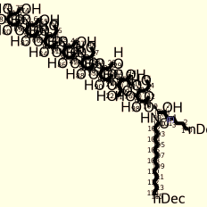 CCCCCCCCCCCCC/C=C/[C@@H](O)[C@H](CO[C@@H]1OC(CO)[C@@H](O[C@@H]2OC(CO)[C@H](O[C@@H]3OC(CO)[C@H](O)[C@H](O[C@H]4OC(CO)[C@H](O)[C@H](O[C@H]5OC(CO)[C@H](O)[C@H](O[C@H]6OC(CO)[C@H](O)[C@H](O[C@H]7OC(CO)[C@H](O)[C@H](O[C@H]8OC(CO)[C@H](O)[C@H](O)C8O)C7O)C6O)C5O)C4O)C3O)[C@H](O)C2O)[C@H](O)C1O)NC(=O)CCCCCCCCCCCCCCCCCCCCCCC